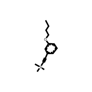 CCCCOc1cccc(C#C[Si](C)(C)C)c1